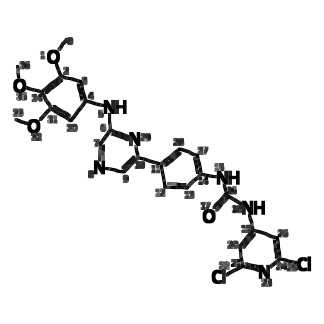 COc1cc(Nc2cncc(-c3ccc(NC(=O)Nc4cc(Cl)nc(Cl)c4)cc3)n2)cc(OC)c1OC